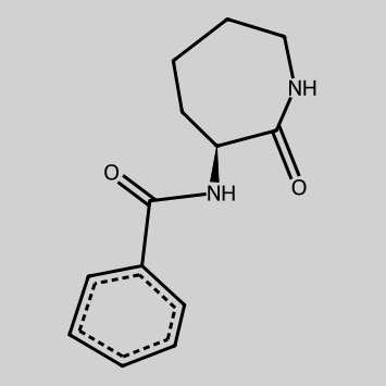 O=C(N[C@H]1CCCCNC1=O)c1ccccc1